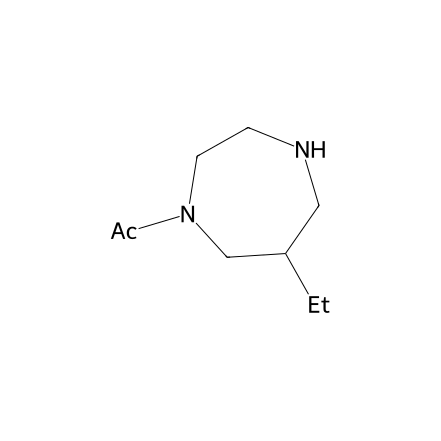 CCC1CNCCN(C(C)=O)C1